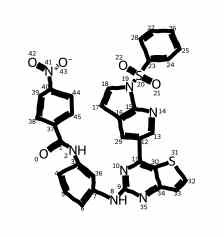 O=C(Nc1cccc(Nc2nc(-c3cnc4c(ccn4S(=O)(=O)c4ccccc4)c3)c3sccc3n2)c1)c1ccc([N+](=O)[O-])cc1